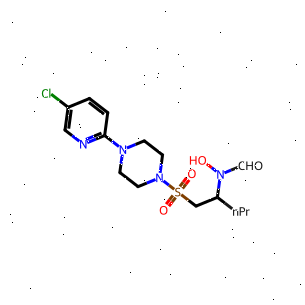 CCCC(CS(=O)(=O)N1CCN(c2ccc(Cl)cn2)CC1)N(O)C=O